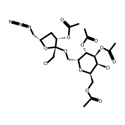 CC(=O)OC[C@H]1O[C@H](CO[C@]2(CCl)O[C@H](CN=[N+]=[N-])C[C@@H]2OC(C)=O)[C@H](OC(C)=O)[C@@H](OC(C)=O)[C@H]1Cl